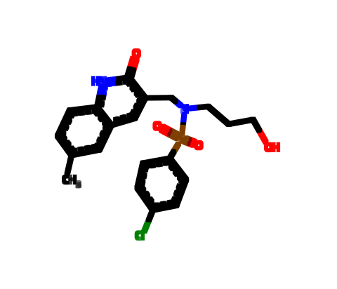 Cc1ccc2[nH]c(=O)c(CN(CCCO)S(=O)(=O)c3ccc(Cl)cc3)cc2c1